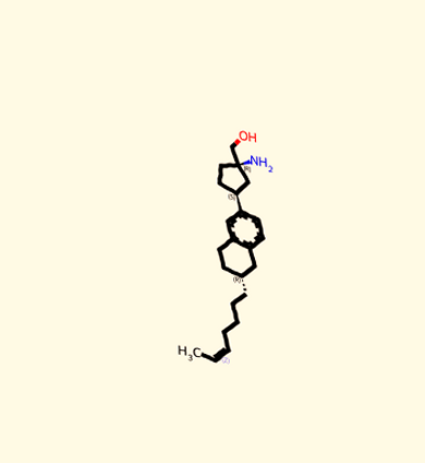 C/C=C\CCCC[C@@H]1CCc2cc([C@H]3CC[C@](N)(CO)C3)ccc2C1